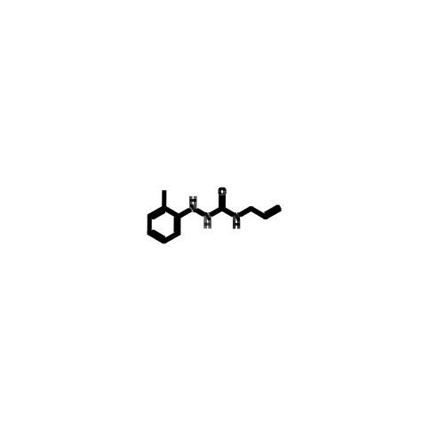 C=CCNC(=O)NNc1ccccc1C